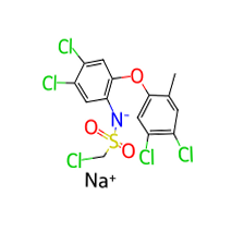 Cc1cc(Cl)c(Cl)cc1Oc1cc(Cl)c(Cl)cc1[N-]S(=O)(=O)CCl.[Na+]